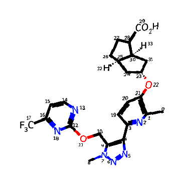 Cc1nc(-c2nnn(C)c2COc2nccc(C(F)(F)F)n2)ccc1O[C@@H]1C[C@H]2CCC(C(=O)O)[C@H]2C1